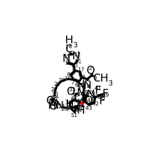 CC(=O)c1nn2c3c(cc(-c4cnc(C)nc4)cc13)CCCCCS(=O)(=O)NC[C@@]13C[C@@H](C(=O)Nc4nc(C(F)(F)F)ccc4C)N(C(=O)C2)[C@@H]1C3